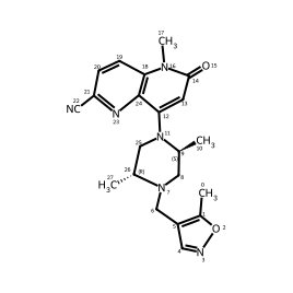 Cc1oncc1CN1C[C@H](C)N(c2cc(=O)n(C)c3ccc(C#N)nc23)C[C@H]1C